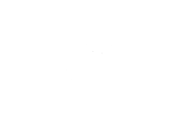 O=C(CCl)C(=O)CCc1ccccc1